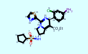 CCOC(=O)C1=C2C[C@H](NS(=O)(=O)C3CCCC3)CN2C(c2nccs2)=N[C@H]1c1ccc(P)cc1Cl